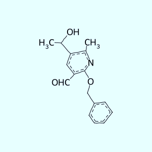 Cc1nc(OCc2ccccc2)c(C=O)cc1C(C)O